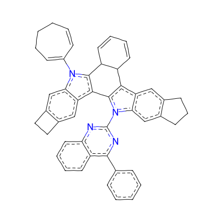 C1=CC2c3c(n(-c4nc(-c5ccccc5)c5ccccc5n4)c4cc5c(cc34)CCC5)-c3c(n(C4=CCCCC=C4)c4cc5c(cc34)CC5)C2C=C1